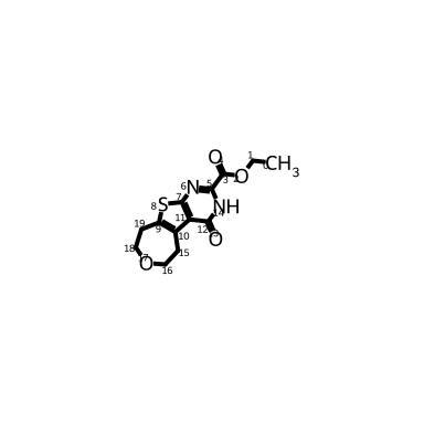 CCOC(=O)c1nc2sc3c(c2c(=O)[nH]1)CCOCC3